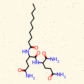 CCCCCCCCCC(=O)NC(CCC(N)=O)C(=O)NC(CCC(N)=O)C(N)=O